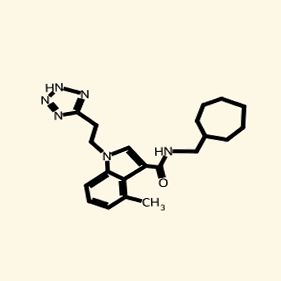 Cc1cccc2c1c(C(=O)NCC1CCCCCC1)cn2CCc1nn[nH]n1